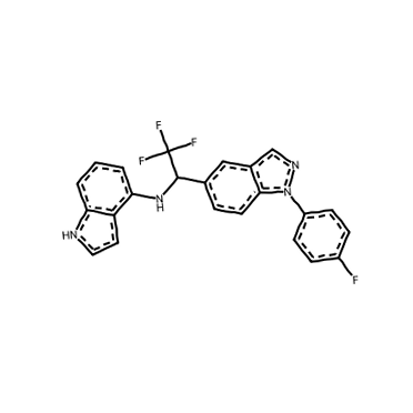 Fc1ccc(-n2ncc3cc(C(Nc4cccc5[nH]ccc45)C(F)(F)F)ccc32)cc1